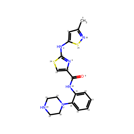 Cc1cc(Nc2nc(C(=O)Nc3ccccc3N3CCNCC3)cs2)sn1